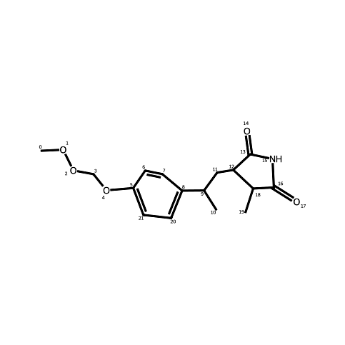 COOCOc1ccc(C(C)CC2C(=O)NC(=O)C2C)cc1